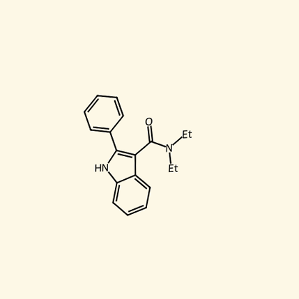 CCN(CC)C(=O)c1c(-c2ccccc2)[nH]c2ccccc12